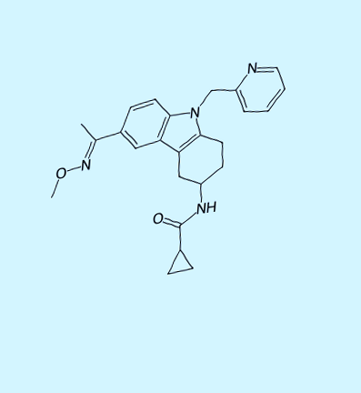 CON=C(C)c1ccc2c(c1)c1c(n2Cc2ccccn2)CCC(NC(=O)C2CC2)C1